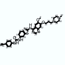 COc1cc2c(Nc3nc4ccc(NC(=O)Nc5ccc(C#N)cc5)cc4s3)ncnc2cc1OCCCN1CCN(C)CC1